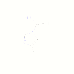 Cc1cn(C(C)N)cn1